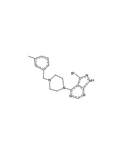 Cc1cccc(CN2CCN(c3ncnc4[nH]nc(Br)c34)CC2)c1